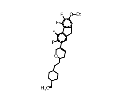 C=CC1CCC(CCC2CC=C(c3cc4c(c(F)c3F)-c3c(cc(OCC)c(F)c3F)C4)CO2)CC1